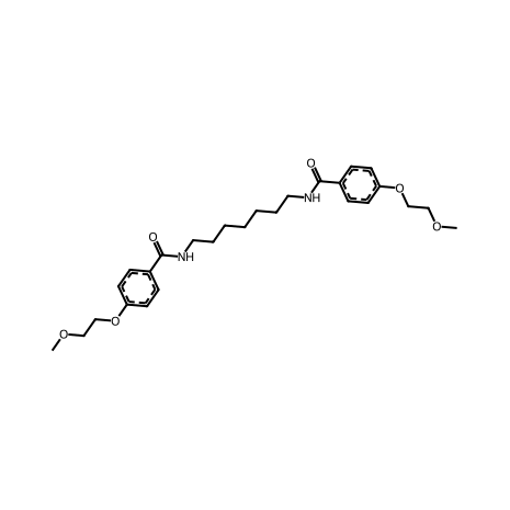 COCCOc1ccc(C(=O)NCCCCCCCNC(=O)c2ccc(OCCOC)cc2)cc1